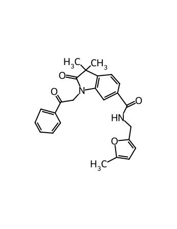 Cc1ccc(CNC(=O)c2ccc3c(c2)N(CC(=O)c2ccccc2)C(=O)C3(C)C)o1